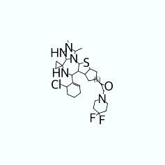 CC1N(C)NC2N1C1SC3C[C@@H](C4OC4N4CCC(F)(F)CC4)CC3C1C(C1=CCCCC1Cl)NC21CC1